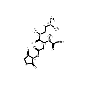 CCCCCCC(=O)N(C)[C@@H](CC(=O)ON1C(=O)CCC1=O)C(=O)N(C)CCN(C)C